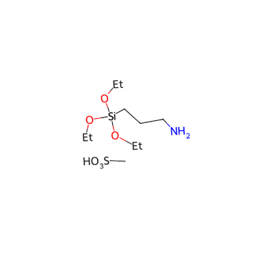 CCO[Si](CCCN)(OCC)OCC.CS(=O)(=O)O